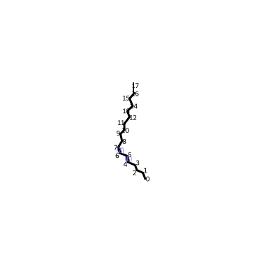 CCCC/C=C/C=C\CCCCCCCCCI